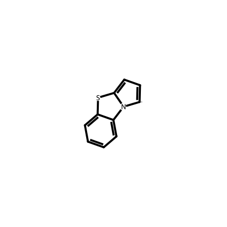 [c]1ccc2sc3ccccc3n12